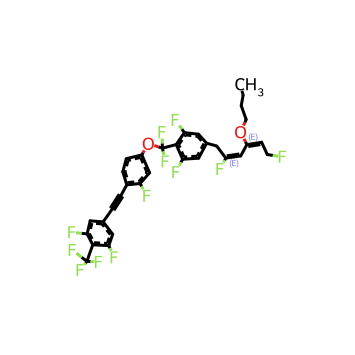 CCCCOC(/C=C(/F)Cc1cc(F)c(C(F)(F)Oc2ccc(C#Cc3cc(F)c(C(F)(F)F)c(F)c3)c(F)c2)c(F)c1)=C/CF